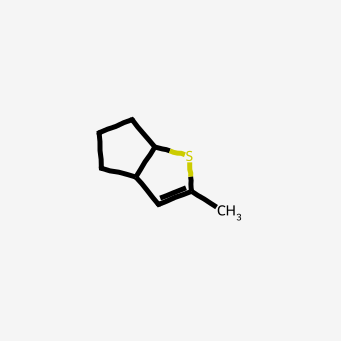 CC1=CC2CCCC2S1